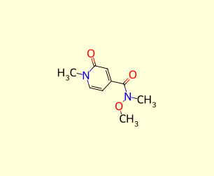 CON(C)C(=O)c1ccn(C)c(=O)c1